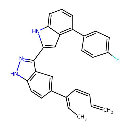 C=C/C=C\C(=C/C)c1ccc2[nH]nc(-c3cc4c(-c5ccc(F)cc5)cccc4[nH]3)c2c1